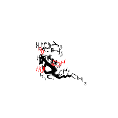 CCCCCCC(C)(C)c1cc(O)c([C@@H]2C=C(COC(=O)C(C)(C)C)[C@@H]3C[C@H]2C3(C)C)c(O)c1